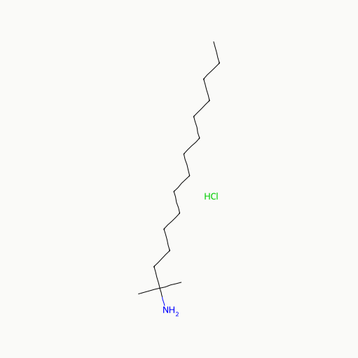 CCCCCCCCCCCCCC(C)(C)N.Cl